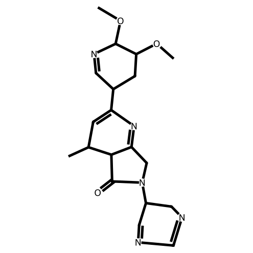 COC1CC(C2=CC(C)C3C(=O)N(C4C=NC=NC4)CC3=N2)C=NC1OC